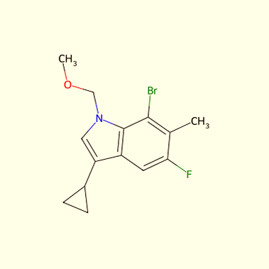 COCn1cc(C2CC2)c2cc(F)c(C)c(Br)c21